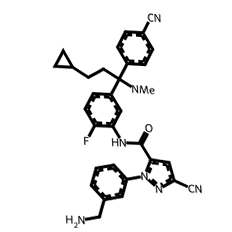 CNC(CCC1CC1)(c1ccc(C#N)cc1)c1ccc(F)c(NC(=O)c2cc(C#N)nn2-c2cccc(CN)c2)c1